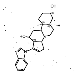 C[C@@]12C(n3cnc4ccccc43)=CCC1C1CC[C@@H]3C[C@@H](O)CC[C@]3(C)C1CC2O